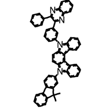 CC1(C)c2ccccc2-c2ccc(-n3c4ccccc4c4c5c6ccccc6n(-c6cccc(-c7nc8ccccc8nc7-c7ccccc7)c6)c5ccc43)cc21